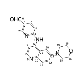 O=Cc1ccc(Nc2ccnc3ccc(N4CCOCC4)cc23)nc1